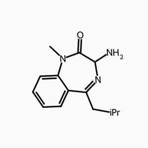 CC(C)CC1=NC(N)C(=O)N(C)c2ccccc21